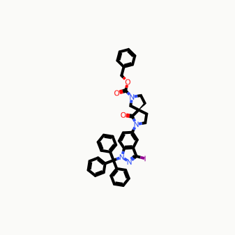 O=C(OCc1ccccc1)N1CC[C@]2(CCN(c3ccc4c(c3)c(I)nn4C(c3ccccc3)(c3ccccc3)c3ccccc3)C2=O)C1